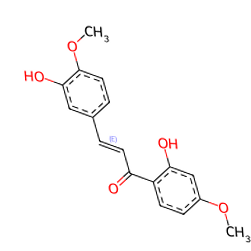 COc1ccc(C(=O)/C=C/c2ccc(OC)c(O)c2)c(O)c1